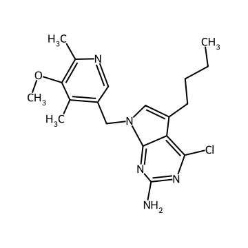 CCCCc1cn(Cc2cnc(C)c(OC)c2C)c2nc(N)nc(Cl)c12